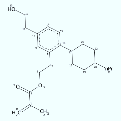 C=C(C)C(=O)OCCc1cc(CCO)ccc1C1CCC(CCC)CC1